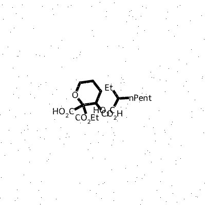 CCCCCC(CC)C(=O)O.CCOC(=O)C1(C(=O)O)OCCCC1C(=O)O